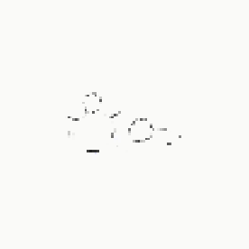 C=C1/C(c2ccc(NS(C)(=O)=O)c(C)c2)=C(O)\C=C/CNC(=O)c2sccc21